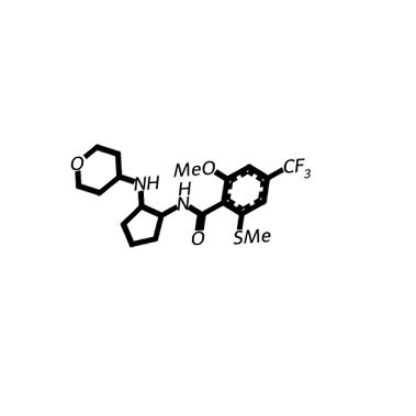 COc1cc(C(F)(F)F)cc(SC)c1C(=O)NC1CCCC1NC1CCOCC1